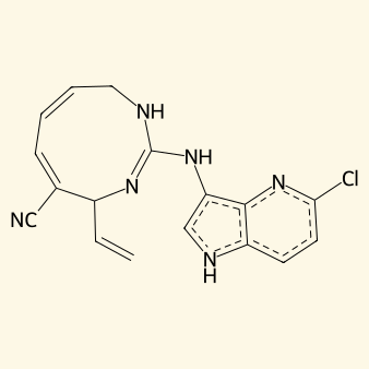 C=CC1/N=C(/Nc2c[nH]c3ccc(Cl)nc23)NC/C=C\C=C/1C#N